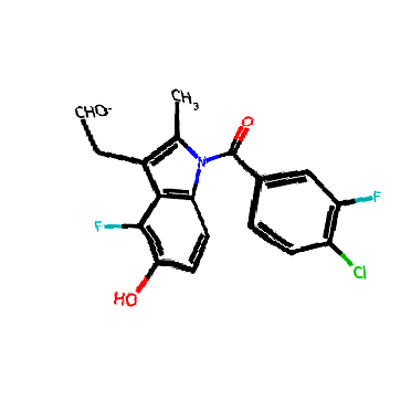 Cc1c(C[C]=O)c2c(F)c(O)ccc2n1C(=O)c1ccc(Cl)c(F)c1